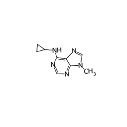 Cn1cnc2c(NC3CC3)ncnc21